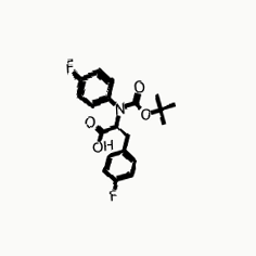 CC(C)(C)OC(=O)N(c1ccc(F)cc1)[C@@H](Cc1ccc(F)cc1)C(=O)O